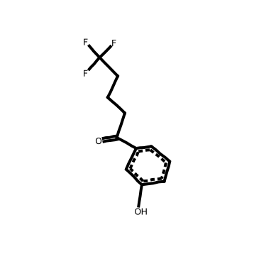 O=C(CCCC(F)(F)F)c1cccc(O)c1